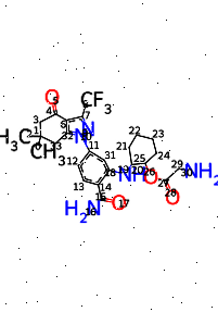 CC1(C)CC(=O)c2c(C(F)(F)F)nn(-c3ccc(C(N)=O)c(NC4CCCCC4OC(=O)CN)c3)c2C1